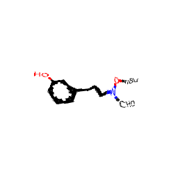 CCCCON(C=O)CCc1cccc(O)c1